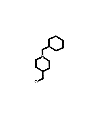 [O]CC1CCN(CC2CCCCC2)CC1